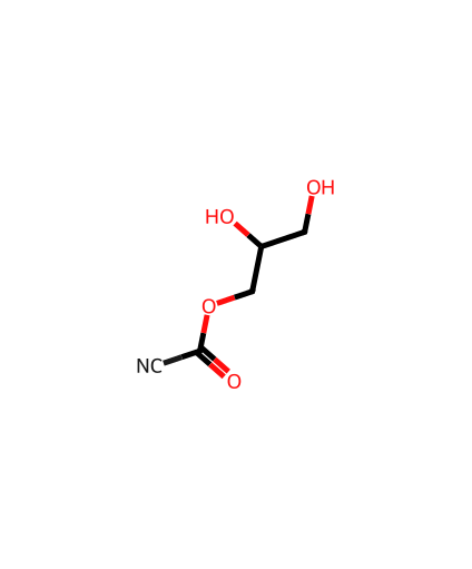 N#CC(=O)OCC(O)CO